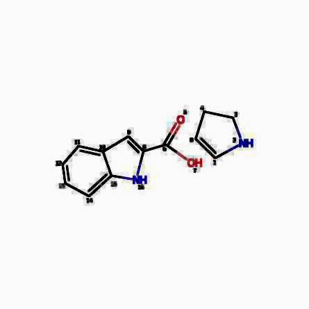 C1=CNCC1.O=C(O)c1cc2ccccc2[nH]1